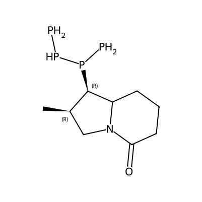 C[C@@H]1CN2C(=O)CCCC2[C@@H]1P(P)PP